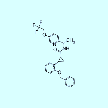 C[C@H](NC(=O)[C@@H]1C[C@H]1c1ccccc1OCc1ccccc1)c1ccc(OCC(F)(F)F)cn1